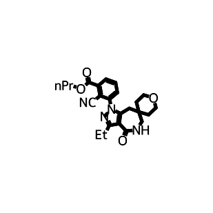 CCCOC(=O)c1cccc(-n2nc(CC)c3c2CC2(CCOCC2)CNC3=O)c1C#N